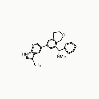 CN[C@@H](c1ccccc1)c1cc(-c2cnc3[nH]cc(C)c3c2)cc2c1COCC2